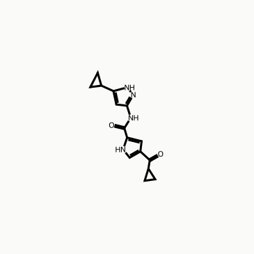 O=C(Nc1cc(C2CC2)[nH]n1)c1cc(C(=O)C2CC2)c[nH]1